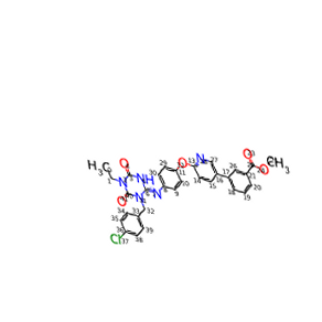 CCn1c(=O)[nH]/c(=N\c2ccc(Oc3ccc(-c4cccc(C(=O)OC)c4)cn3)cc2)n(Cc2ccc(Cl)cc2)c1=O